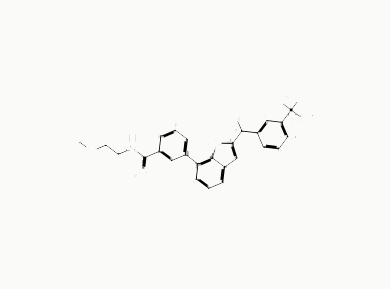 COCCNC(=O)c1cccc(-c2cccc3cc(C(O)c4cccc(C(F)(F)F)c4)sc23)c1